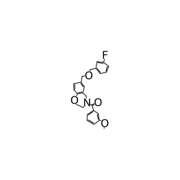 COc1cccc(C(=O)N2CCOc3ccc(COCc4cccc(F)c4)cc3C2)c1